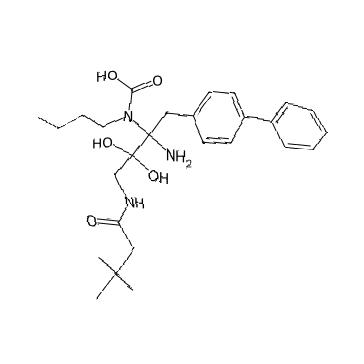 CCCCN(C(=O)O)C(N)(Cc1ccc(-c2ccccc2)cc1)C(O)(O)CNC(=O)CC(C)(C)C